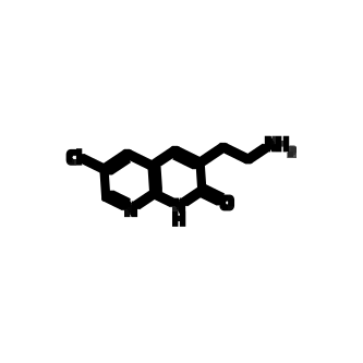 NCCc1cc2cc(Cl)cnc2[nH]c1=O